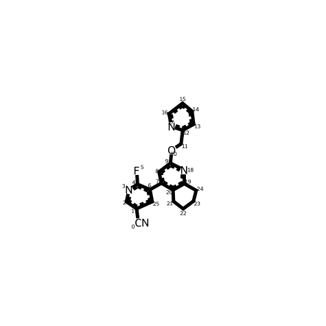 N#Cc1cnc(F)c(-c2cc(OCc3ccccn3)nc3c2CCCC3)c1